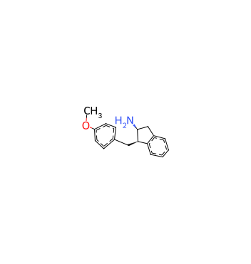 COc1ccc(C[C@@H]2c3ccccc3C[C@@H]2N)cc1